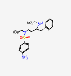 CCC(C)CN(CCC(Cc1ccccc1)NC(=O)O)S(=O)(=O)c1ccc(N)cc1